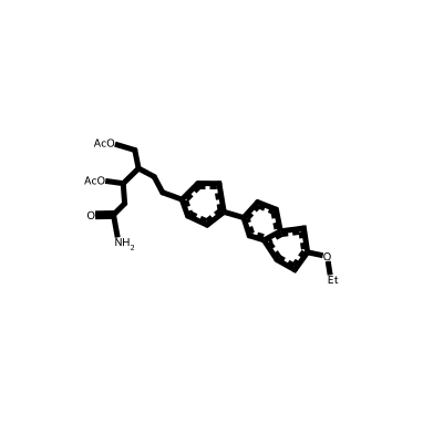 CCOc1ccc2cc(-c3ccc(CCC(COC(C)=O)C(CC(N)=O)OC(C)=O)cc3)ccc2c1